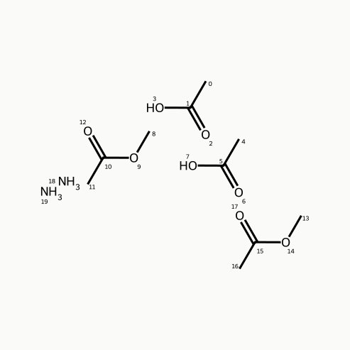 CC(=O)O.CC(=O)O.COC(C)=O.COC(C)=O.N.N